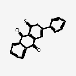 O=C1C2=C(C(=O)c3ccccc31)C(=S)CC(c1ccccc1)=C2